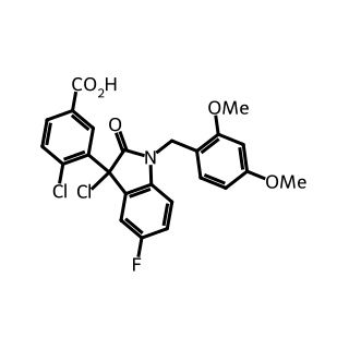 COc1ccc(CN2C(=O)C(Cl)(c3cc(C(=O)O)ccc3Cl)c3cc(F)ccc32)c(OC)c1